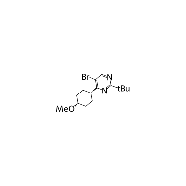 CO[C@H]1CC[C@@H](c2nc(C(C)(C)C)ncc2Br)CC1